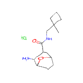 CC1(CNC(=O)C2C3CCC(O3)C2N)CCC1.Cl